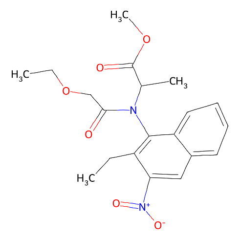 CCOCC(=O)N(c1c(CC)c([N+](=O)[O-])cc2ccccc12)C(C)C(=O)OC